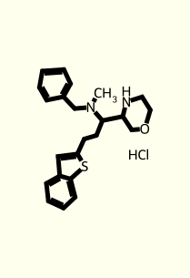 CN(Cc1ccccc1)C(CCc1cc2ccccc2s1)C1COCCN1.Cl